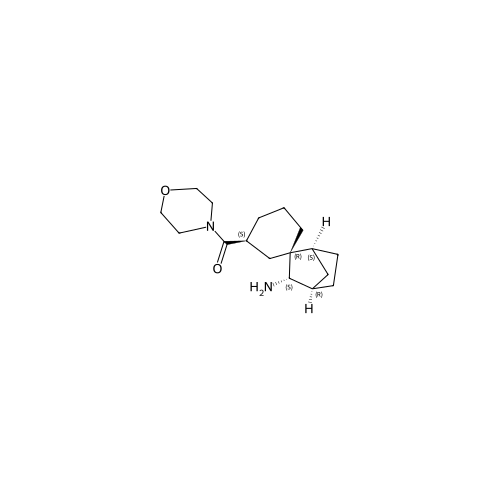 N[C@H]1[C@@H]2CC[C@@H](C2)[C@]12CCC[C@H](C(=O)N1CCOCC1)C2